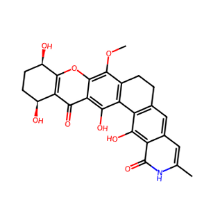 COc1c2c(c(O)c3c(=O)c4c(oc13)[C@H](O)CC[C@@H]4O)-c1c(cc3cc(C)[nH]c(=O)c3c1O)CC2